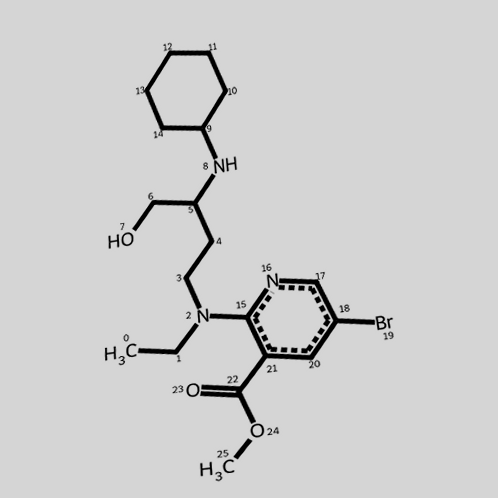 CCN(CCC(CO)NC1CCCCC1)c1ncc(Br)cc1C(=O)OC